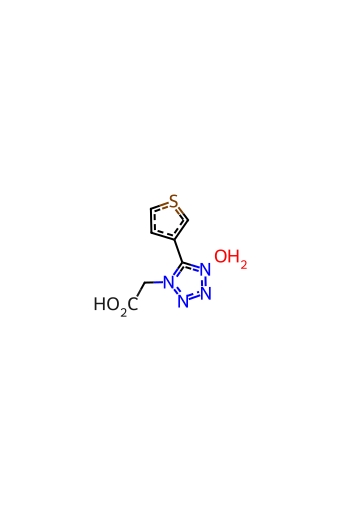 O.O=C(O)Cn1nnnc1-c1ccsc1